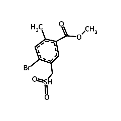 COC(=O)c1cc(C[SH](=O)=O)c(Br)cc1C